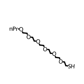 CCCOCCOCCOCCOCCOCCOCCS